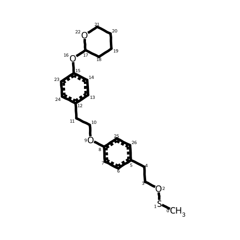 CSOCCc1ccc(OCCc2ccc(OC3CCCCO3)cc2)cc1